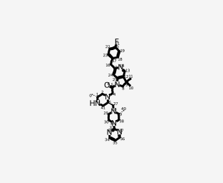 C[C@@H]1CN(CC(=O)N2CC(C)(C)c3cnc(Cc4ccc(F)cc4)cc32)[C@@H](CN2CCN(c3ncccn3)C[C@H]2C)CN1